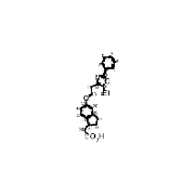 CCc1oc(-c2ccccc2)nc1CCOc1ccc2c(c1)CCC2CC(=O)O